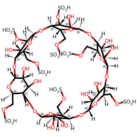 O=S(=O)(O)OC[C@H]1O[C@@H]2O[C@H]3[C@H](O)[C@@H](O)[C@@H](O[C@H]4[C@H](O)[C@@H](OS(=O)(=O)O)[C@@H](O[C@H]5[C@H](OS(=O)(=O)O)[C@@H](O)[C@@H](O[C@H]6[C@H](O)[C@@H](O)[C@@H](O[C@H]7[C@H](O)[C@@H](O)[C@@H](O[C@H]1[C@H](O)[C@H]2O)O[C@@H]7COS(=O)(=O)O)O[C@@H]6COS(=O)(=O)O)O[C@@H]5COS(=O)(=O)O)O[C@@H]4COS(=O)(=O)O)O[C@@H]3COS(=O)(=O)O